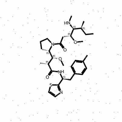 CC[C@H](C)[C@H](NC)[C@@H](CC(=O)N1CCC[C@H]1[C@H](OC)[C@@H](C)C(=O)N[C@@H](Cc1ccc(C)cc1)c1nccs1)OC